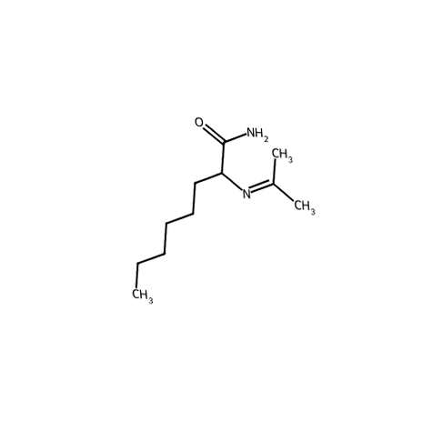 CCCCCCC(N=C(C)C)C(N)=O